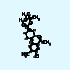 CC(=O)c1cc(Cl)c(C)cc1N1CCN(C(=O)OC(C)(C)C)CC1